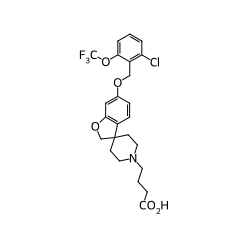 O=C(O)CCCN1CCC2(CC1)COc1cc(OCc3c(Cl)cccc3OC(F)(F)F)ccc12